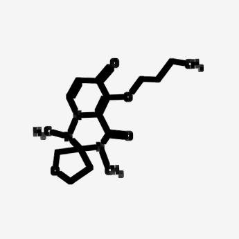 CCCCOc1c2n(ccc1=O)N(C)C1(CCOC1)N(C)C2=O